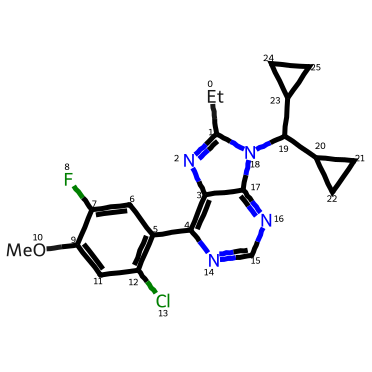 CCc1nc2c(-c3cc(F)c(OC)cc3Cl)ncnc2n1C(C1CC1)C1CC1